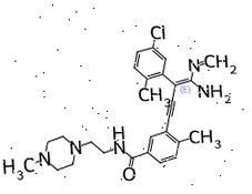 C=N/C(N)=C(/C#Cc1cc(C(=O)NCCN2CCN(C)CC2)ccc1C)c1cc(Cl)ccc1C